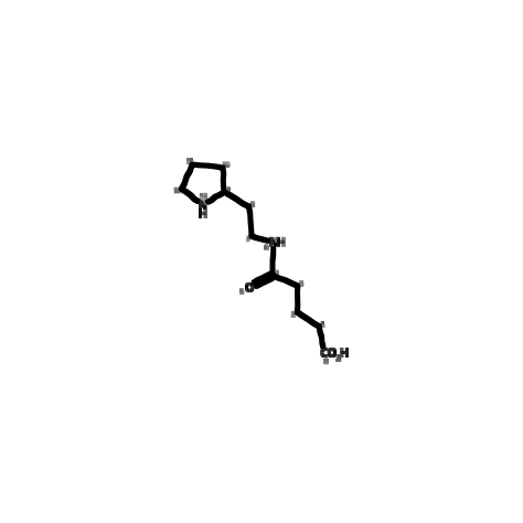 O=C(O)CCCC(=O)NCCC1CCCN1